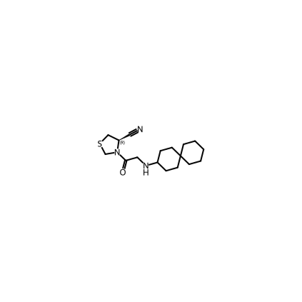 N#C[C@@H]1CSCN1C(=O)CNC1CCC2(CCCCC2)CC1